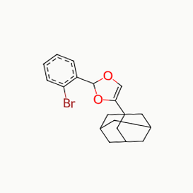 Brc1ccccc1C1OC=C(C23CC4CC(CC(C4)C2)C3)O1